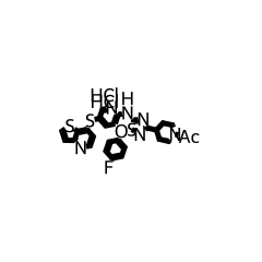 CC(=O)N1CCC(c2nsc(Nc3ncc(Sc4ccnc5ccsc45)cc3Oc3ccc(F)cc3)n2)CC1.Cl.Cl